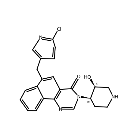 O=c1c2cc(Cc3ccc(Cl)nc3)c3ccccc3c2ncn1[C@@H]1CCNC[C@@H]1O